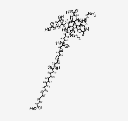 CC(=O)N[C@@H](CCCCN)C(=O)N[C@@H](CCC(=O)O)C(=O)N[C@@H](CCCCN(CC(=O)O)CC(=O)O)C(=O)N[C@@H](CCCCNC(=O)COCCOCCNC(=O)CCCCCCCCCCCCCCC(=O)O)C(N)=O